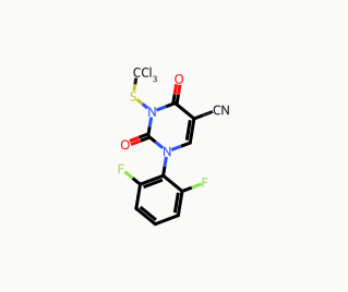 N#Cc1cn(-c2c(F)cccc2F)c(=O)n(SC(Cl)(Cl)Cl)c1=O